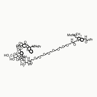 CCCC(=O)Nc1ccc2c(c1)cc(CN(C)NC)n2CCC(=O)NCCOCCOCCOCCOCCOCCOCCOCCOCCC(=O)N[C@H](C(=O)N[C@@H](C)C(=O)Nc1ccc(C(=O)O[C@]2(CC)C(=O)OCc3c2cc2n(c3=O)Cc3c-2nc2ccccc2c3CCNC(C)C)c(O[C@@H]2O[C@H](C(=O)O)[C@@H](O)[C@H](O)[C@H]2O)c1)C(C)C